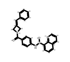 O=C(c1ccc(N[S+]([O-])c2cccc3cccnc23)cc1)N1CC(=Cc2ccccc2)C1